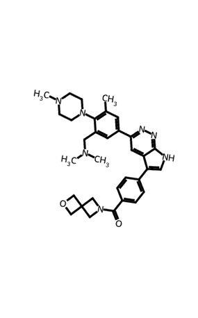 Cc1cc(-c2cc3c(-c4ccc(C(=O)N5CC6(COC6)C5)cc4)c[nH]c3nn2)cc(CN(C)C)c1N1CCN(C)CC1